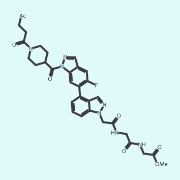 COC(=O)CNC(=O)CNC(=O)Cn1ncc2c(-c3cc4c(cnn4C(=O)C4CCN(C(=O)CCC(C)=O)CC4)cc3F)cccc21